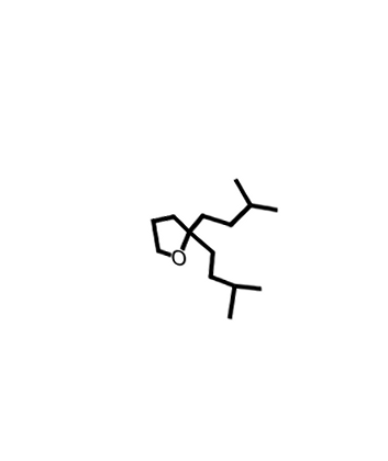 CC(C)CCC1(CCC(C)C)CCCO1